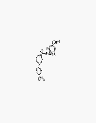 Cc1ccc(N2CCCN(C(=O)Nc3ccc(O)cn3)CC2)nc1